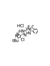 Cc1nc(-c2ccccc2C(F)(F)F)nc2nc(-c3c(Cl)c(C(C)(C)C)nn3C)[nH]c12.Cl